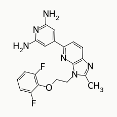 Cc1nc2ccc(-c3cc(N)nc(N)c3)nc2n1CCOc1c(F)cccc1F